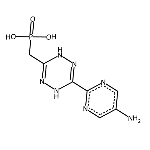 Nc1cnc(C2=NNC(CP(=O)(O)O)=NN2)nc1